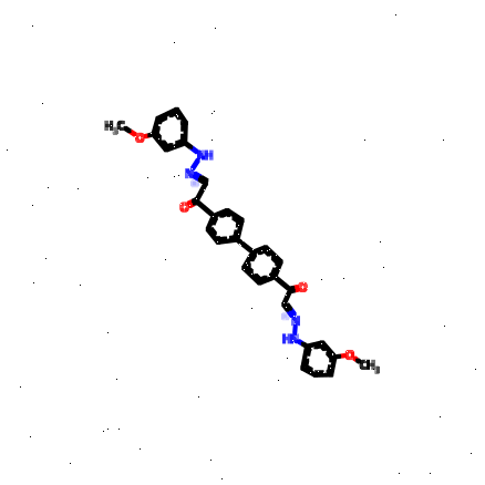 COc1cccc(N/N=C/C(=O)c2ccc(-c3ccc(C(=O)/C=N/Nc4cccc(OC)c4)cc3)cc2)c1